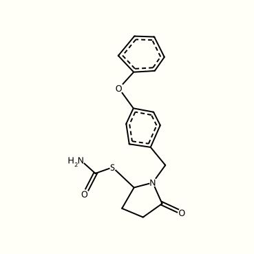 NC(=O)SC1CCC(=O)N1Cc1ccc(Oc2ccccc2)cc1